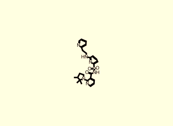 CC1CCN(c2ncccc2C(=O)NS(=O)(=O)c2cccc(NCCc3ccccn3)n2)C1(C)C